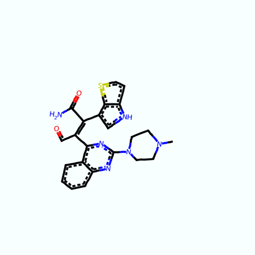 CN1CCN(c2nc(/C(C=O)=C(/C(N)=O)c3c[nH]c4ccsc34)c3ccccc3n2)CC1